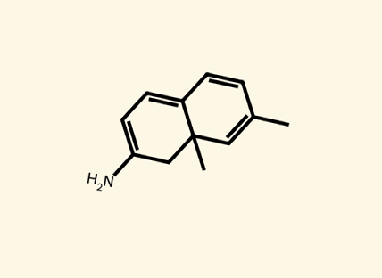 CC1=CC2(C)CC(N)=CC=C2C=C1